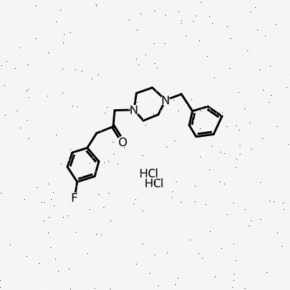 Cl.Cl.O=C(Cc1ccc(F)cc1)CN1CCN(Cc2ccccc2)CC1